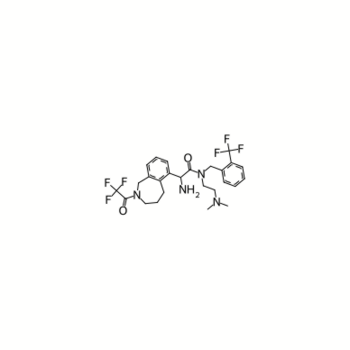 CN(C)CCN(Cc1ccccc1C(F)(F)F)C(=O)C(N)c1cccc2c1CCCN(C(=O)C(F)(F)F)C2